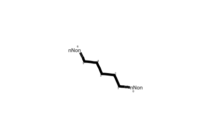 [CH2]CCCCCCCCC[CH]CCCCCCCCCCCC